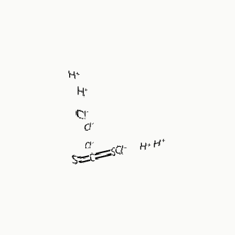 S=C=S.[Cl-].[Cl-].[Cl-].[Cl-].[H+].[H+].[H+].[H+]